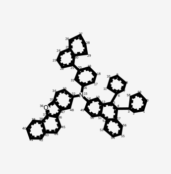 c1ccc(-c2c(-c3ccccc3)c3cc(N(c4cccc(-c5cccc6ccccc56)c4)c4ccc5oc6c7ccccc7ccc6c5c4)ccc3c3ccccc23)cc1